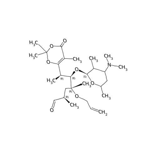 C=CCO[C@](C)(C[C@@H](C)C=O)[C@H](O[C@@H]1OC(C)CC(N(C)C)C1C)[C@@H](C)C1=C(C)C(=O)OC(C)(C)O1